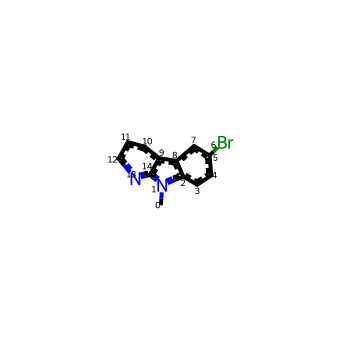 Cn1c2ccc(Br)cc2c2cccnc21